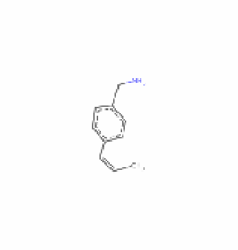 C/C=C\c1ccc(CN)cc1